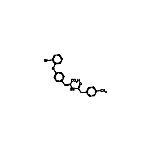 Cc1ccc(CC(=O)N/C(=C/c2ccc(Oc3ccccc3Br)cc2)C(=O)O)cc1